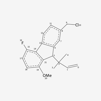 C=CC(C)(C)C1c2cc(CCl)ccc2-c2c(F)ccc(OC)c21